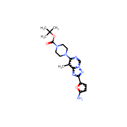 Cc1c(N2CCN(C(=O)OC(C)(C)C)CC2)ncn2nc(-c3ccc(N)o3)nc12